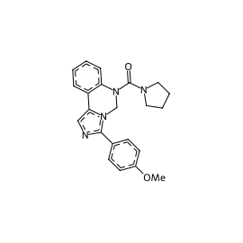 COc1ccc(-c2ncc3n2CN(C(=O)N2CCCC2)c2ccccc2-3)cc1